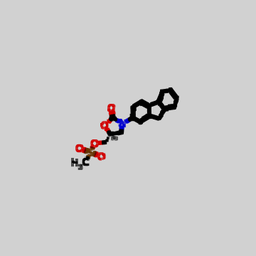 CS(=O)(=O)OC[C@H]1CN(c2ccc3c(c2)Cc2ccccc2-3)C(=O)O1